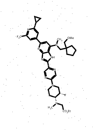 CCOC(=O)CN(C)[C@@H]1CCN(c2cnc(-c3nc4nc(-c5cc(C6CC6)nc(C(F)(F)F)c5)cc(N(C)CC5(COC)CCCC5)c4[nH]3)cn2)C[C@@H]1F